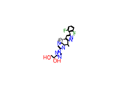 CC(C)c1cc(-c2c(F)cccc2F)nnc1C(C)c1cncc(-n2cnc([C@@H](O)CO)n2)n1